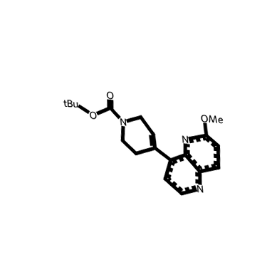 COc1ccc2nccc(C3=CCN(C(=O)OC(C)(C)C)CC3)c2n1